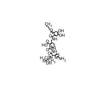 CCCCON=C1CC(O)=C(O)C=C1C(=O)NCC1=C(C(=O)O)N2C(=O)C(NC(=O)/C(=N\OC(C)(C)C(=O)O)c3csc(N)n3)[C@@H]2SC1